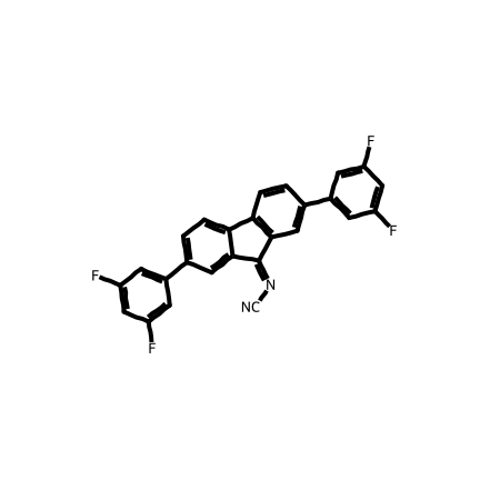 N#CN=C1c2cc(-c3cc(F)cc(F)c3)ccc2-c2ccc(-c3cc(F)cc(F)c3)cc21